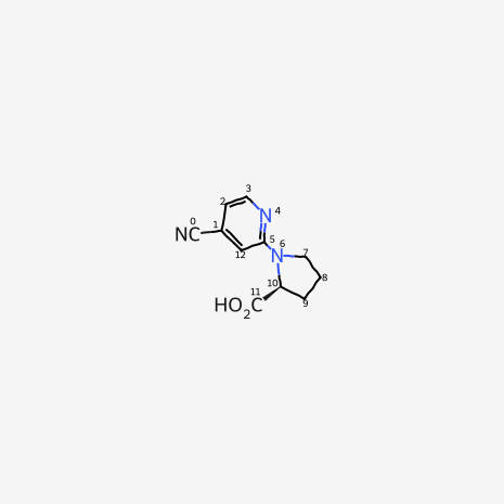 N#Cc1ccnc(N2CCC[C@H]2C(=O)O)c1